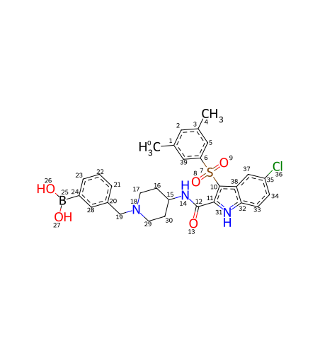 Cc1cc(C)cc(S(=O)(=O)c2c(C(=O)NC3CCN(Cc4cccc(B(O)O)c4)CC3)[nH]c3ccc(Cl)cc23)c1